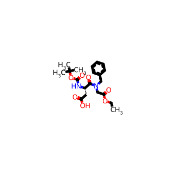 CCOC(=O)CN(Cc1ccccc1)C(=O)[C@H](CC(=O)O)NC(=O)OC(C)(C)C